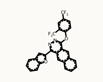 FC(F)(F)c1ccc(Oc2nnc(-c3cc4ccccc4o3)c3cc4ccccc4cc23)c(C(F)(F)F)c1